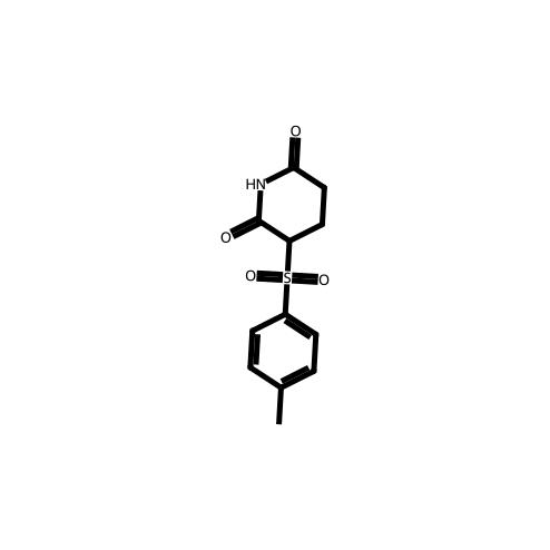 Cc1ccc(S(=O)(=O)C2CCC(=O)NC2=O)cc1